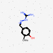 COc1cc(/C=N\NC(=N)N)ccc1O